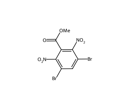 COC(=O)c1c([N+](=O)[O-])c(Br)cc(Br)c1[N+](=O)[O-]